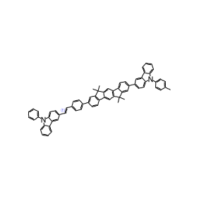 Cc1ccc(-n2c3ccccc3c3cc(-c4ccc5c(c4)C(C)(C)c4cc6c(cc4-5)C(C)(C)c4cc(-c5ccc(/C=C/c7ccc8c(c7)c7ccccc7n8-c7ccccc7)cc5)ccc4-6)ccc32)cc1